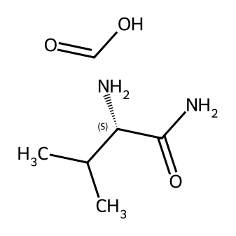 CC(C)[C@H](N)C(N)=O.O=CO